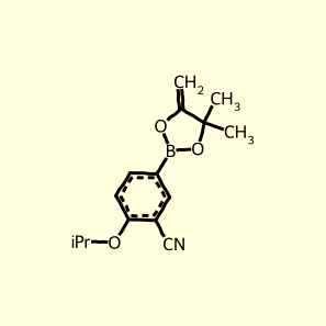 C=C1OB(c2ccc(OC(C)C)c(C#N)c2)OC1(C)C